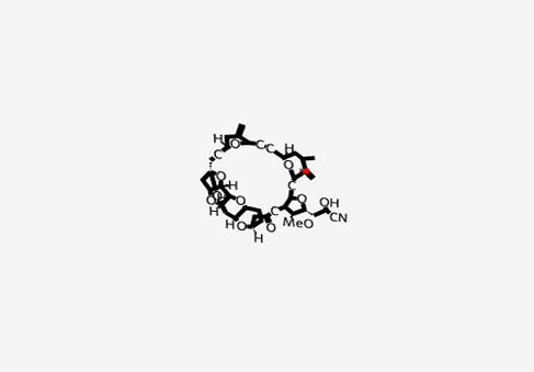 C=C1C[C@@H]2CC[C@@]34CC5O[C@H]6C(O3)[C@H]3O[C@H](CCC3O[C@H]6[C@H]5O4)CC(=O)CC3C(C[C@H]4O[C@@H](CCC1O2)CC(C)C4=C)O[C@H](CC(O)C#N)[C@@H]3OC